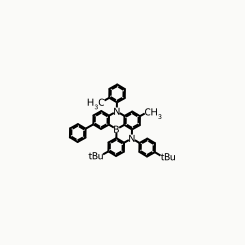 Cc1cc2c3c(c1)N(c1ccccc1C)c1ccc(-c4ccccc4)cc1B3c1cc(C(C)(C)C)ccc1N2c1ccc(C(C)(C)C)cc1